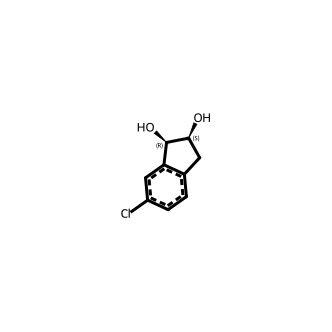 O[C@@H]1c2cc(Cl)ccc2C[C@@H]1O